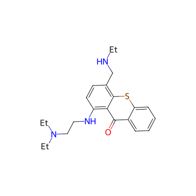 CCNCc1ccc(NCCN(CC)CC)c2c(=O)c3ccccc3sc12